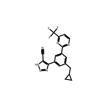 N#Cc1[nH]nnc1-c1cc(CC2CC2)cc(-c2nccc(C(F)(F)F)n2)c1